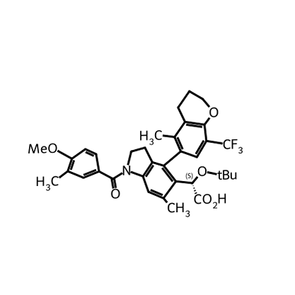 COc1ccc(C(=O)N2CCc3c2cc(C)c([C@H](OC(C)(C)C)C(=O)O)c3-c2cc(C(F)(F)F)c3c(c2C)CCCO3)cc1C